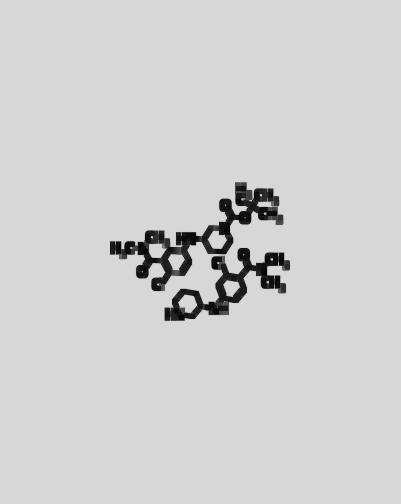 CN(C)C(=O)c1cc(N[C@@H]2CCCN(C(=O)OC(C)(C)C)C2)ccc1Cl.CN(C)C(=O)c1ccc(N[C@@H]2CCCNC2)cc1Cl